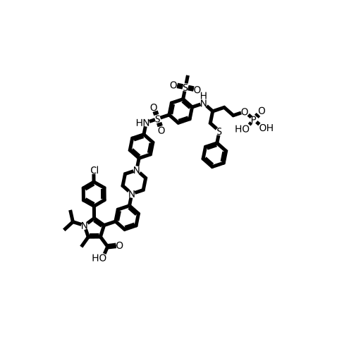 Cc1c(C(=O)O)c(-c2cccc(N3CCN(c4ccc(NS(=O)(=O)c5ccc(NC(CCOP(=O)(O)O)CSc6ccccc6)c(S(C)(=O)=O)c5)cc4)CC3)c2)c(-c2ccc(Cl)cc2)n1C(C)C